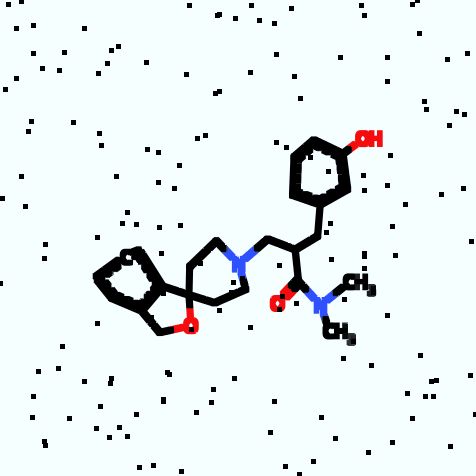 CN(C)C(=O)C(Cc1cccc(O)c1)CN1CCC2(CC1)OCc1ccccc12